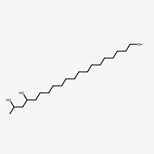 CC(O)CC(O)CCCCCCCCCCCCCCCCO